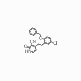 N#Cc1c(CCc2cc(Cl)ccc2OCc2ccccc2)cc[nH]c1=O